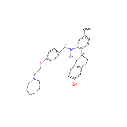 CCN(c1cc(OC)ccc1[C@@H]1CCc2cc(O)ccc2C1)C(C)c1ccc(OCCN2CCCCCC2)cc1